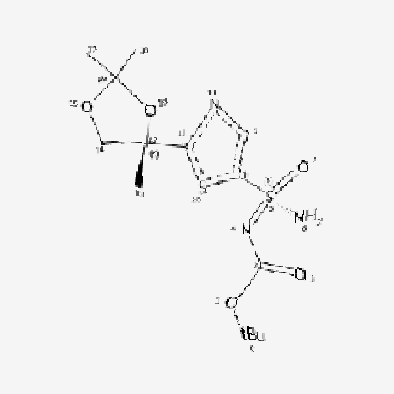 CC(C)(C)OC(=O)N=[S@](N)(=O)c1cnc([C@]2(C)COC(C)(C)O2)s1